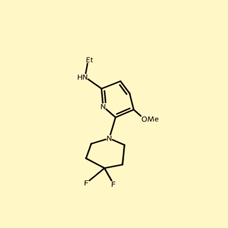 CCNc1ccc(OC)c(N2CCC(F)(F)CC2)n1